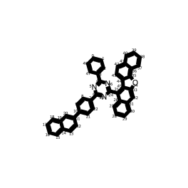 c1ccc(-c2nc(-c3ccc(-c4ccc5ccccc5c4)cc3)nc(-c3c4ccccc4cc4oc5c6ccccc6ccc5c34)n2)cc1